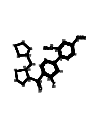 COc1ccc(-c2ccc(C(=O)N3CCC[C@H]3CN3CCCC3)c(F)c2)c(OC)c1